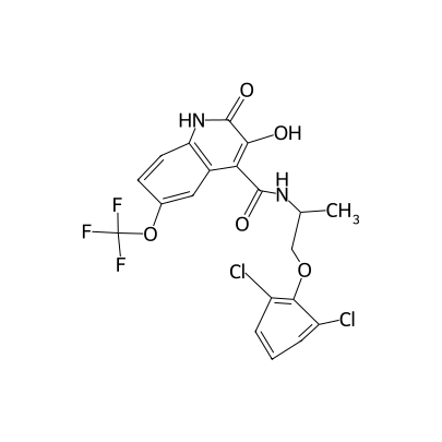 CC(COc1c(Cl)cccc1Cl)NC(=O)c1c(O)c(=O)[nH]c2ccc(OC(F)(F)F)cc12